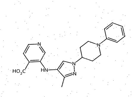 Cc1nn(C2CCN(c3ccccc3)CC2)cc1Nc1cnccc1C(=O)O